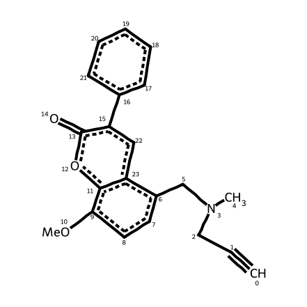 C#CCN(C)Cc1ccc(OC)c2oc(=O)c(-c3ccccc3)cc12